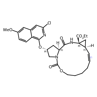 CCOC(=O)[C@@]12C[C@H]1/C=C\CCCCOC(=O)N1C[C@H](Oc3nc(Cl)cc4cc(OC)ccc34)C[C@H]1C(=O)N2